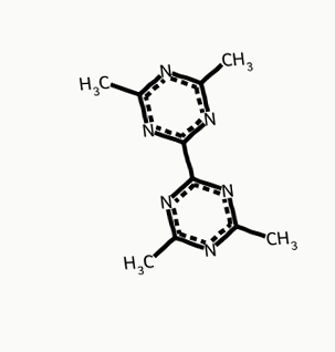 Cc1nc(C)nc(-c2nc(C)nc(C)n2)n1